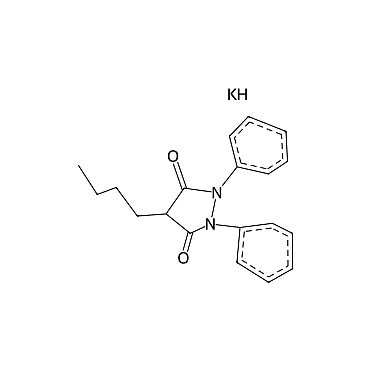 CCCCC1C(=O)N(c2ccccc2)N(c2ccccc2)C1=O.[KH]